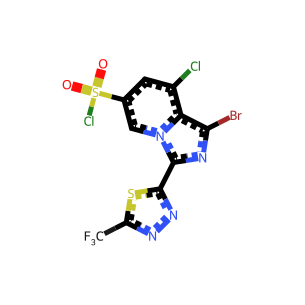 O=S(=O)(Cl)c1cc(Cl)c2c(Br)nc(-c3nnc(C(F)(F)F)s3)n2c1